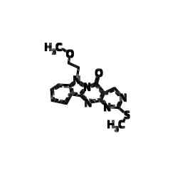 COCCn1c2ccccc2c2nc3nc(SC)ncc3c(=O)n21